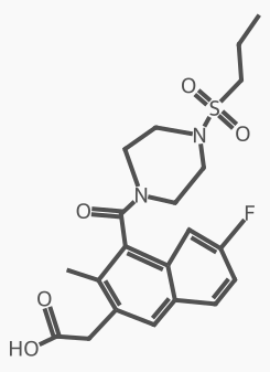 CCCS(=O)(=O)N1CCN(C(=O)c2c(C)c(CC(=O)O)cc3ccc(F)cc23)CC1